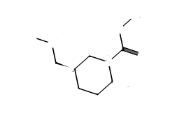 C[C@@H]1CC[C@@H](COC=O)CN1C(=O)OC(C)(C)C